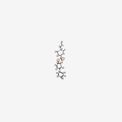 CCC[C@H]1CC[C@H](C(=O)Oc2ccc(-c3ccc(F)cc3)cc2)CC1